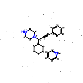 C(#CC(C1CCCCC1)N1CCNCC1)c1ccccc1.c1ccncc1